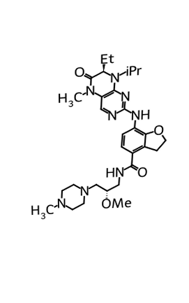 CC[C@@H]1C(=O)N(C)c2cnc(Nc3ccc(C(=O)NC[C@@H](CN4CCN(C)CC4)OC)c4c3OCC4)nc2N1C(C)C